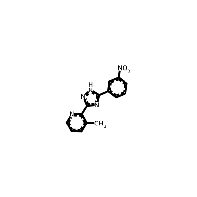 Cc1cccnc1-c1n[nH]c(-c2cccc([N+](=O)[O-])c2)n1